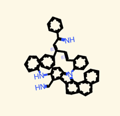 N=Cc1c(Nc2ccccc2)ccc2c1c1ccc3ccc4ccccc4c3c1n2-c1ccccc1/C=C/C(=C\C(=N)c1ccccc1)c1ccccc1